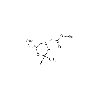 CC(=O)OC[C@@H]1C[C@H](CC(=O)OC(C)(C)C)OC(C)(C)O1